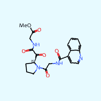 COC(=O)CNC(=O)C(=O)[C@@H]1CCCN1C(=O)CNC(=O)c1ccnc2ccccc12